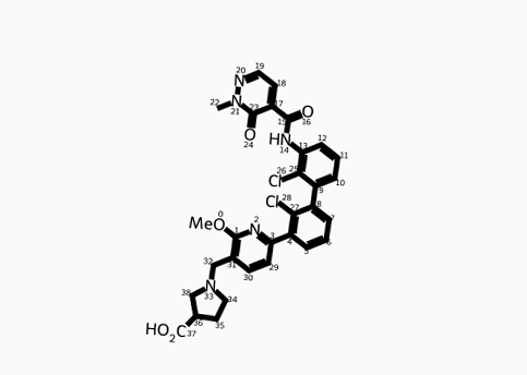 COc1nc(-c2cccc(-c3cccc(NC(=O)c4ccnn(C)c4=O)c3Cl)c2Cl)ccc1CN1CCC(C(=O)O)C1